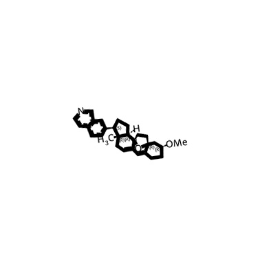 CO[C@@H]1CCC2=CC3=CC[C@]4(C)[C@@H](c5ccc6ccncc6c5)CC[C@H]4[C@@]34CC[C@]2(C1)O4